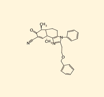 C[C@@H]1C(=O)C(C#N)=C[C@]2(C)c3nc(CCOCc4ccccc4)n(-c4ccccc4)c3CCC12